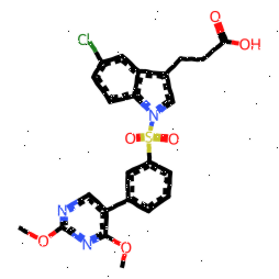 COc1ncc(-c2cccc(S(=O)(=O)n3cc(CCC(=O)O)c4cc(Cl)ccc43)c2)c(OC)n1